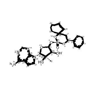 C[C@@]1(O)[C@H](O)C(O[P@]2(=O)O[C@H](c3ccccc3)CC3(CCCC3)O2)O[C@H]1n1ccc2c(N)ncnc21